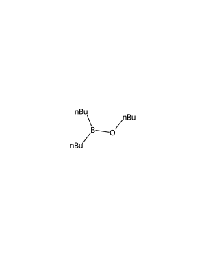 CCCCOB(CCCC)CCCC